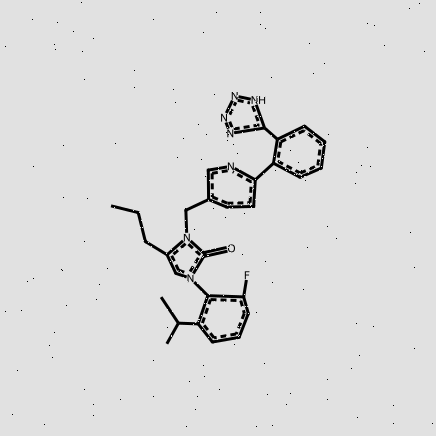 CCCc1cn(-c2c(F)cccc2C(C)C)c(=O)n1Cc1ccc(-c2ccccc2-c2nnn[nH]2)nc1